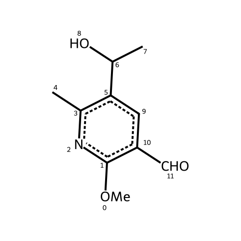 COc1nc(C)c(C(C)O)cc1C=O